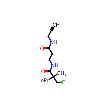 C#CCNC(=O)CCNC(=O)C(C)(CF)CCC